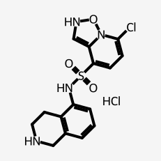 Cl.O=S(=O)(Nc1cccc2c1CCNC2)C1=CC=C(Cl)N2ONC=C12